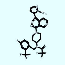 Cn1nccc1-c1nnc(N2CCC(N(Cc3ccc(F)cc3C(F)(F)F)C(=O)C(F)(F)F)CC2)c2cnccc12